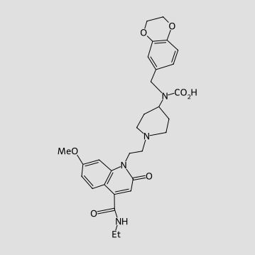 CCNC(=O)c1cc(=O)n(CCN2CCC(N(Cc3ccc4c(c3)OCCO4)C(=O)O)CC2)c2cc(OC)ccc12